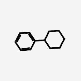 [CH]1CC[C](c2ccccc2)CC1